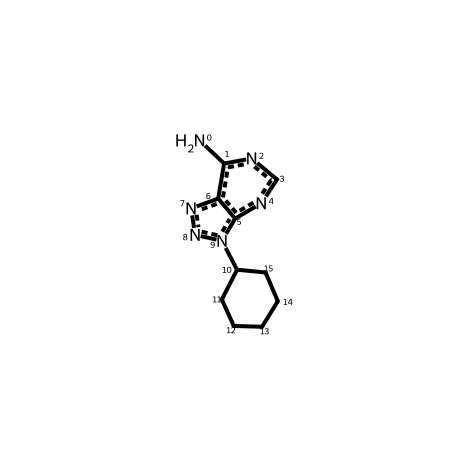 Nc1ncnc2c1nnn2C1CCCCC1